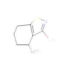 CNC1CCCc2snc(O)c21